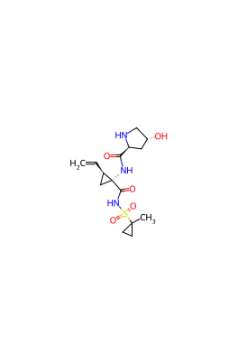 C=C[C@@H]1C[C@]1(NC(=O)[C@@H]1C[C@@H](O)CN1)C(=O)NS(=O)(=O)C1(C)CC1